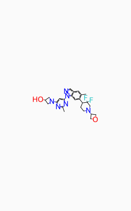 Cc1nc(N2CC(O)C2)cc(-n2ncc3cc(C)c(C4CCN(C5COC5)CC4(F)F)cc32)n1